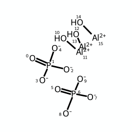 O=P([O-])([O-])[O-].O=P([O-])([O-])[O-].[OH][Al+2].[OH][Al+2].[OH][Al+2]